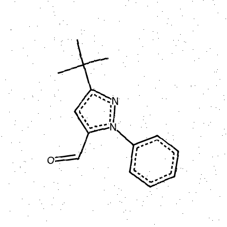 CC(C)(C)c1cc(C=O)n(-c2ccccc2)n1